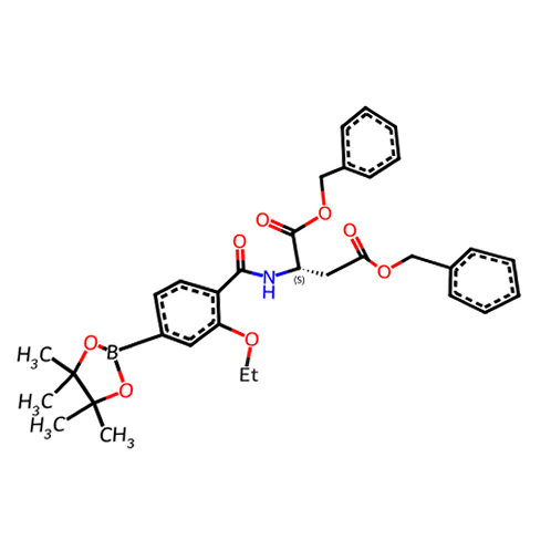 CCOc1cc(B2OC(C)(C)C(C)(C)O2)ccc1C(=O)N[C@@H](CC(=O)OCc1ccccc1)C(=O)OCc1ccccc1